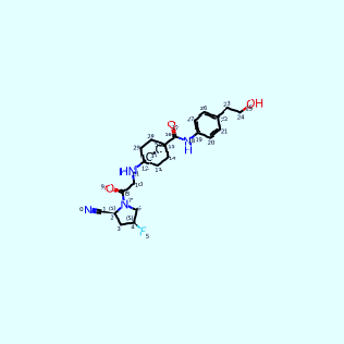 N#C[C@@H]1C[C@H](F)CN1C(=O)CNC12CCC(C(=O)Nc3ccc(CCO)cc3)(CC1)CC2